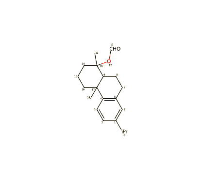 CC(C)c1ccc2c(c1)CCC1C(C)(OC=O)CCCC21C